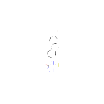 NC(=O)N(S)c1ccc2c(c1)Cc1cc(Br)ccc1-2